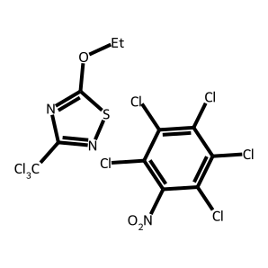 CCOc1nc(C(Cl)(Cl)Cl)ns1.O=[N+]([O-])c1c(Cl)c(Cl)c(Cl)c(Cl)c1Cl